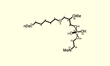 CCCCCCCCCCCCCCCOCC(COP(=O)(O)OCCNC)OC